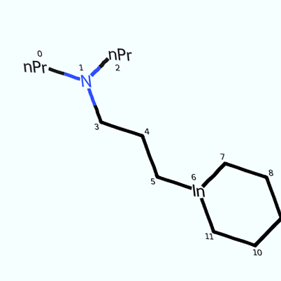 CCCN(CCC)CC[CH2][In]1[CH2]CCC[CH2]1